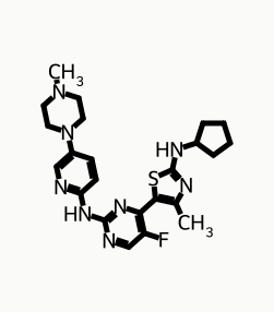 Cc1nc(NC2CCCC2)sc1-c1nc(Nc2ccc(N3CCN(C)CC3)cn2)ncc1F